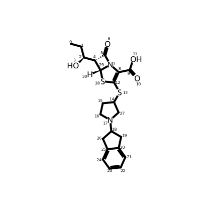 CC[C@H](O)[C@@H]1C(=O)N2C(C(=O)O)=C(SC3CCN(C4Cc5ccccc5C4)C3)S[C@H]12